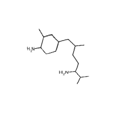 CC(CCC(N)C(C)C)CC1CCC(N)C(C)C1